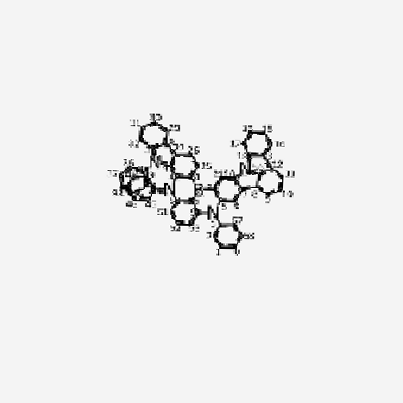 c1ccc(N2c3cc4c5cccc6c7ccccc7n(c4cc3B3c4ccc7c8ccccc8n(-c8ccccc8)c7c4N(c4ccccc4)c4cccc2c43)c65)cc1